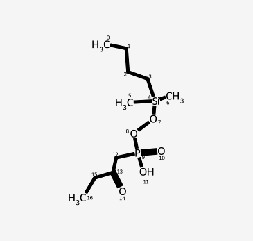 CCCC[Si](C)(C)OOP(=O)(O)CC(=O)CC